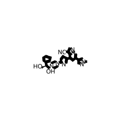 Cn1cc(-c2cc(-c3ccc(N4CCN([C@H](O)[C@@H](CO)c5ccccc5)CC4)nc3)c3c(C#N)cnn3c2)cn1